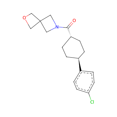 O=C([C@H]1CC[C@H](c2ccc(Cl)cc2)CC1)N1CC2(COC2)C1